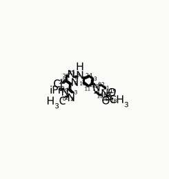 Cc1ncc(-c2nc(Nc3ccc(N4CCN(S(C)(=O)=O)CC4)cc3)ncc2Cl)n1C(C)C